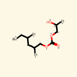 CCC(C)CC(CC)CC(CC)COC(=O)OCC(O)CC